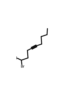 CCCCC#CCCC(Br)I